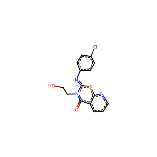 O=c1c2cccnc2s/c(=N\c2ccc(Cl)cc2)n1CCO